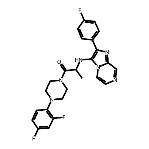 CC(Nc1c(-c2ccc(F)cc2)nc2cnccn12)C(=O)N1CCN(c2ccc(F)cc2F)CC1